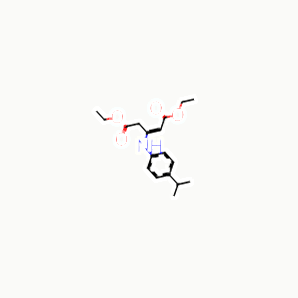 CCOC(=O)C=C(CC(=O)OCC)Nc1ccc(C(C)C)cc1